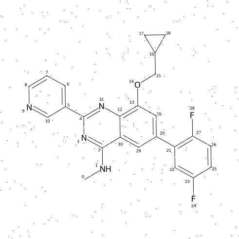 CNc1nc(-c2cccnc2)nc2c(OCC3CC3)cc(-c3cc(F)ccc3F)cc12